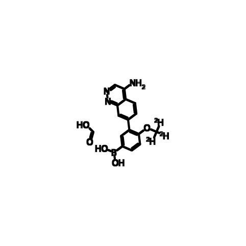 O=CO.[2H]C([2H])([2H])Oc1ccc(B(O)O)cc1-c1ccc2c(N)cnnc2c1